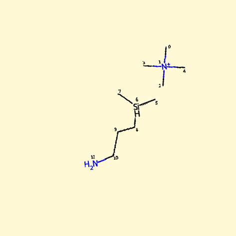 C[N+](C)(C)C.C[SiH](C)CCCN